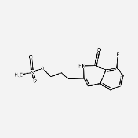 CS(=O)(=O)OCCCc1cc2cccc(F)c2c(=O)[nH]1